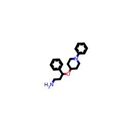 NCCC(OC1CCN(c2ccccc2)CC1)c1ccccc1